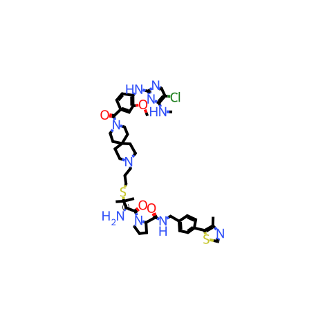 CNc1nc(Nc2ccc(C(=O)N3CCC4(CCN(CCCSC(C)(C)[C@H](N)C(=O)N5CCCC5C(=O)NCc5ccc(-c6scnc6C)cc5)CC4)CC3)cc2OC)ncc1Cl